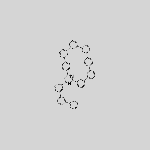 c1ccc(-c2cccc(-c3cccc(-c4ccc(-c5cc(-c6cccc(-c7cccc(-c8ccccc8)c7)c6)nc(-c6cccc(-c7cccc(-c8ccccc8)c7)c6)n5)cc4)c3)c2)cc1